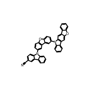 N#Cc1ccc2c(c1)c1ccccc1n2-c1ccc2oc3ccc(-n4c5ccccc5c5cc6oc7ccccc7c6cc54)cc3c2c1